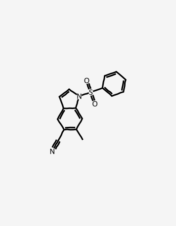 Cc1cc2c(ccn2S(=O)(=O)c2ccccc2)cc1C#N